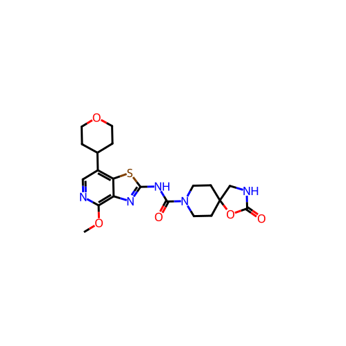 COc1ncc(C2CCOCC2)c2sc(NC(=O)N3CCC4(CC3)CNC(=O)O4)nc12